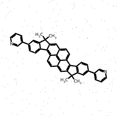 CC1(C)c2cc(-c3cccnc3)ccc2-c2c1cc1ccc3c4c(cc5ccc2c1c53)C(C)(C)c1cc(-c2cccnc2)ccc1-4